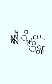 CCC(=O)N(Cc1ccc2c(c1)OC(F)(F)O2)c1cc(Cl)cc(-c2nnn[nH]2)c1